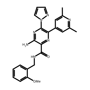 COc1ccccc1CNC(=O)c1nc(-c2cc(C)nc(C)c2)c(-n2cccn2)nc1N